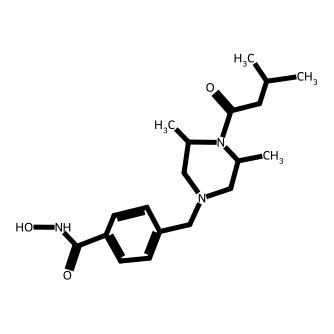 CC(C)CC(=O)N1C(C)CN(Cc2ccc(C(=O)NO)cc2)CC1C